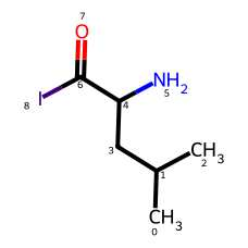 CC(C)CC(N)C(=O)I